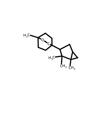 CC12CCC(C3CC4CC4(C)C3(C)C)(CC1)CO2